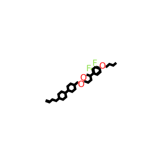 C=CCCC1CCC(C2CCC(COC3CCC(c4ccc(OCCCC)c(F)c4F)CO3)CC2)CC1